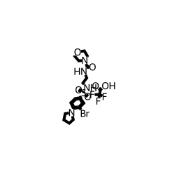 O=C(NCCNS(=O)(=O)c1ccc(N2CCCC2)c(Br)c1)N1CCOCC1.O=C(O)C(F)(F)F